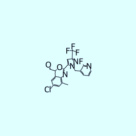 Cc1cc(Cl)cc2c1N=C(c1cc(C(F)(F)F)nn1Cc1cccnc1F)OC2C=O